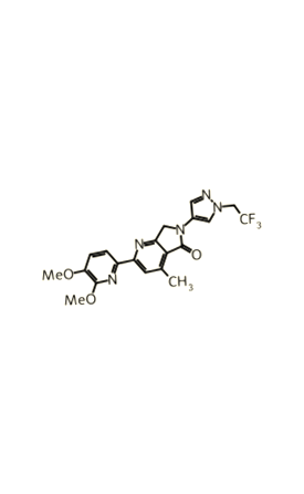 COc1ccc(-c2cc(C)c3c(n2)CN(c2cnn(CC(F)(F)F)c2)C3=O)nc1OC